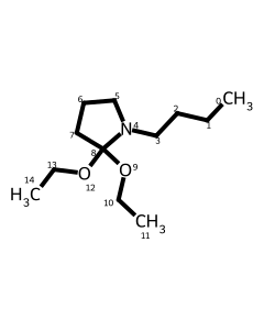 CCCCN1CCCC1(OCC)OCC